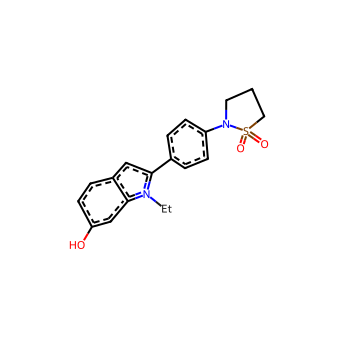 CCn1c(-c2ccc(N3CCCS3(=O)=O)cc2)cc2ccc(O)cc21